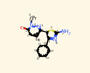 CCCn1nc(-c2sc(N)nc2-c2ccccc2)ccc1=O